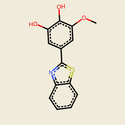 COc1cc(-c2nc3ccccc3s2)cc(O)c1O